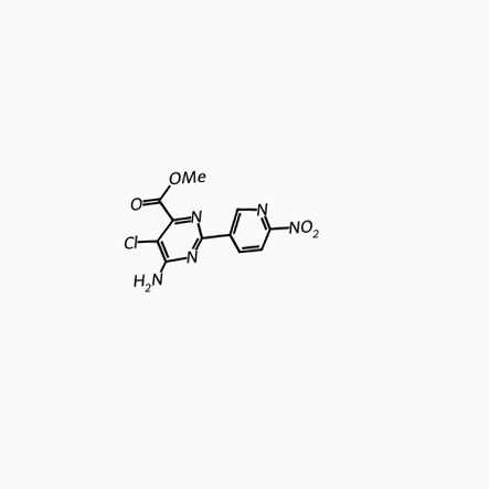 COC(=O)c1nc(-c2ccc([N+](=O)[O-])nc2)nc(N)c1Cl